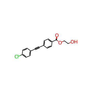 O=C(OCCO)c1ccc(C#Cc2ccc(Cl)cc2)cc1